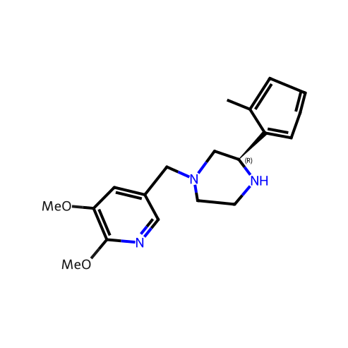 COc1cc(CN2CCN[C@H](c3ccccc3C)C2)cnc1OC